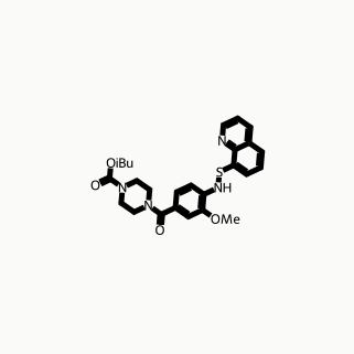 COc1cc(C(=O)N2CCN(C(=O)OCC(C)C)CC2)ccc1NSc1cccc2cccnc12